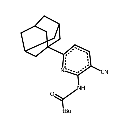 CC(C)(C)C(=O)Nc1nc(C23CC4CC(CC(C4)C2)C3)ccc1C#N